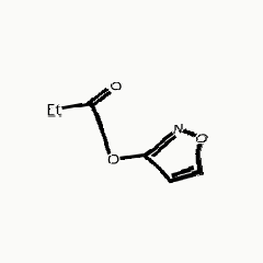 CCC(=O)Oc1ccon1